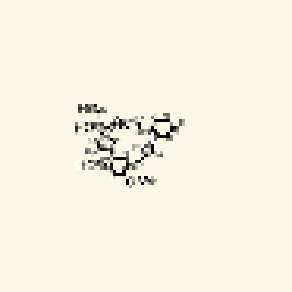 COc1ccc([C@@H]2CN(C(=O)[C@@H](O)CO)C[C@@]2(C)[C@@H](C)O)cc1OC1CN(c2cc(C)ccc2/C=C/C#N)C1